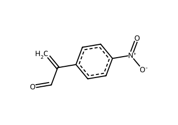 C=C(C=O)c1ccc([N+](=O)[O-])cc1